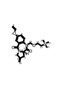 C=COc1ccc2c(c1)C(=O)N1CC(=C)C[C@H]1C(=O)N2COCC[Si](C)(C)C